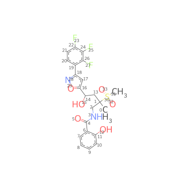 CC(CNC(=O)c1ccccc1O)(CC(O)c1cc(-c2ccc(F)c(F)c2F)no1)S(C)(=O)=O